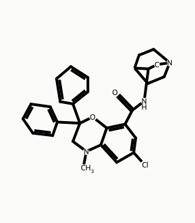 CN1CC(c2ccccc2)(c2ccccc2)Oc2c(C(=O)NC3CN4CCC3CC4)cc(Cl)cc21